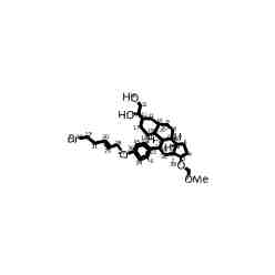 COCOC1CC[C@H]2[C@@H]3CCC4CC(C(O)CO)CC[C@]4(C)[C@@H]3C(c3ccc(OCC=CCCBr)cc3)C[C@]12C